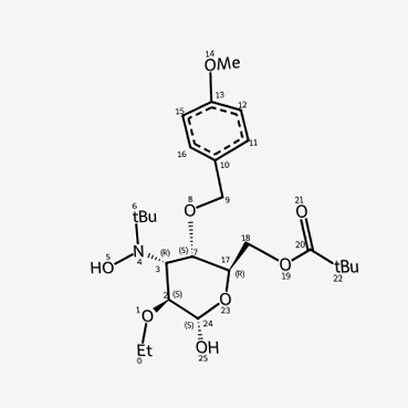 CCO[C@H]1[C@H](N(O)C(C)(C)C)[C@H](OCc2ccc(OC)cc2)[C@@H](COC(=O)C(C)(C)C)O[C@@H]1O